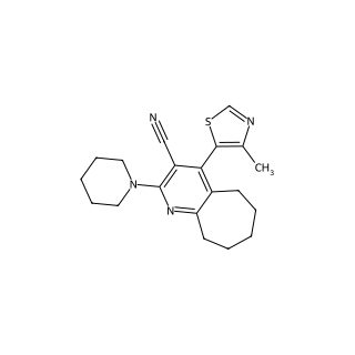 Cc1ncsc1-c1c(C#N)c(N2CCCCC2)nc2c1CCCCC2